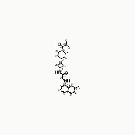 Cc1ccc2cncc(NCC(=O)NC3CN([C@H]4CC[C@H](C(O)C(C)C)CC4)C3)c2c1